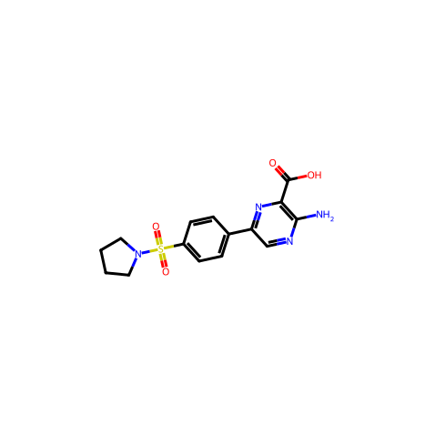 Nc1ncc(-c2ccc(S(=O)(=O)N3CCCC3)cc2)nc1C(=O)O